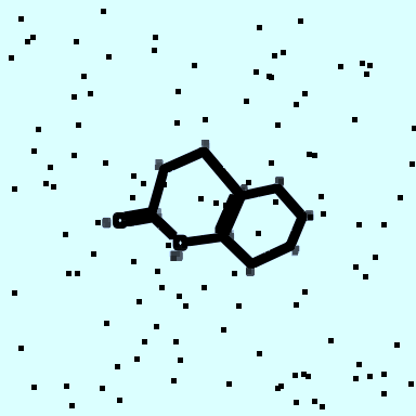 O=C1CCC2=C(CCCC2)O1